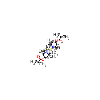 C=C(C)C(=O)OC1CC(C)(CC)N(SSN2C(C)(CC)CC(OC(=O)C(=C)C)CC2(C)CC)C(C)(CC)C1